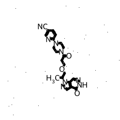 CC(COCCC(=O)N1CCN(c2ccc(C#N)cn2)CC1)n1ncc2c(=O)[nH]ncc21